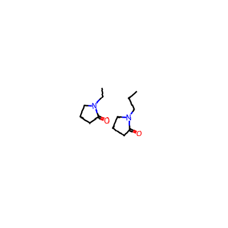 CCCN1CCCC1=O.CCN1CCCC1=O